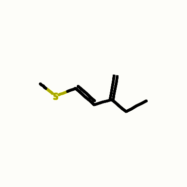 C=C(/C=C/SC)CC